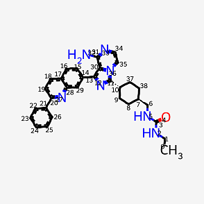 CCNC(=O)NC[C@H]1CC[C@H](c2nc(-c3ccc4ccc(-c5ccccc5)nc4c3)c3c(N)nccn32)CC1